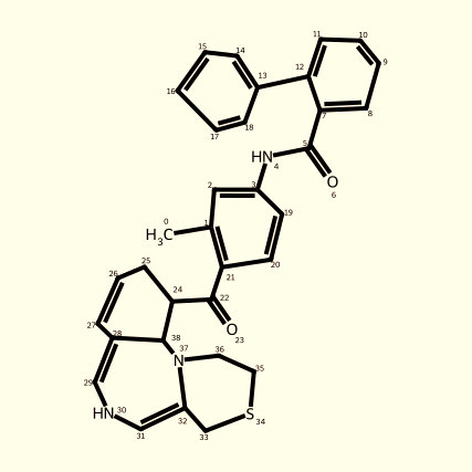 Cc1cc(NC(=O)c2ccccc2-c2ccccc2)ccc1C(=O)C1CC=CC2=CNC=C3CSCCN3C21